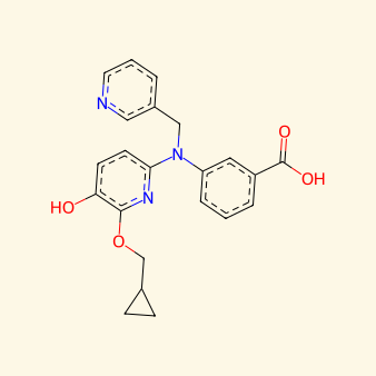 O=C(O)c1cccc(N(Cc2cccnc2)c2ccc(O)c(OCC3CC3)n2)c1